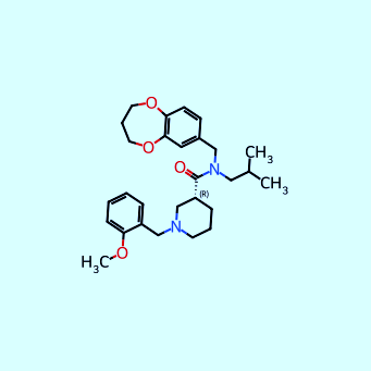 COc1ccccc1CN1CCC[C@@H](C(=O)N(Cc2ccc3c(c2)OCCCO3)CC(C)C)C1